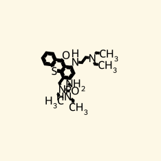 CCNP(N)(=O)N(CC)Cc1ccc(NCCN(CC)CC)c2c(=O)c3ccccc3sc12